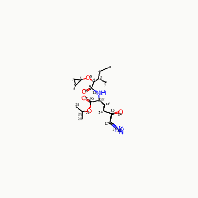 CC[C@@H](C)[C@H](OC1CC1)C(=O)N[C@@H](CCC(=O)C=[N+]=[N-])C(=O)OC(C)C